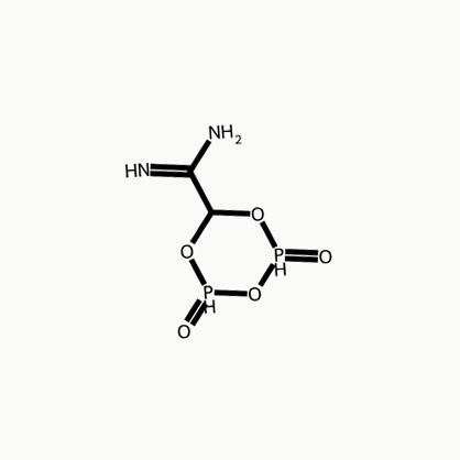 N=C(N)C1O[PH](=O)O[PH](=O)O1